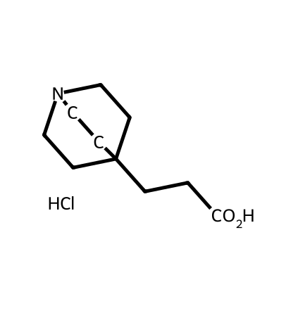 Cl.O=C(O)CCC12CCN(CC1)CC2